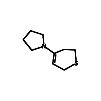 C1=C(N2CCCC2)CCSC1